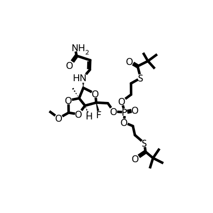 COC1O[C@H]2[C@@](C)(O1)[C@H](N/C=C\C(N)=O)O[C@]2(F)COP(=O)(OCCSC(=O)C(C)(C)C)OCCSC(=O)C(C)(C)C